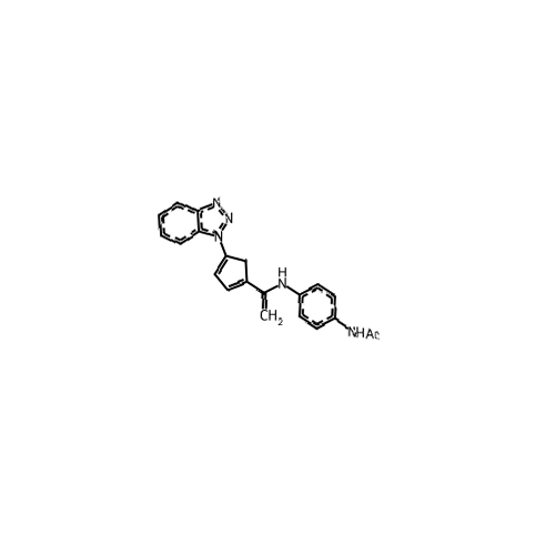 C=C(Nc1ccc(NC(C)=O)cc1)C1=CC=C(n2nnc3ccccc32)C1